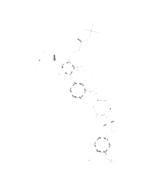 CC(C)(C)OC(=O)COc1c(C(=O)OC(C)(C)C)sc(-c2cccc(NC3CCN(S(=O)(=O)Cc4ccc(F)c(N)c4)C(C)(C)C3)c2F)c1Cl